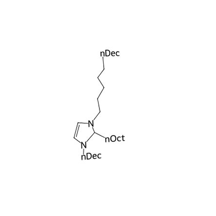 CCCCCCCCCCCCCCCN1C=CN(CCCCCCCCCC)C1CCCCCCCC